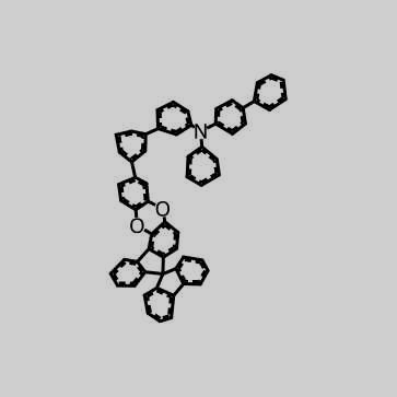 c1ccc(-c2ccc(N(c3ccccc3)c3cccc(-c4cccc(-c5ccc6c(c5)Oc5ccc7c(c5O6)-c5ccccc5C75c6ccccc6-c6ccccc65)c4)c3)cc2)cc1